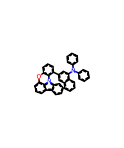 c1ccc(N(c2ccccc2)c2cc(-c3cccc4c3-n3c5ccccc5c5cccc(c53)O4)cc3ccccc23)cc1